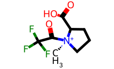 C[N@@+]1(C(=O)C(F)(F)F)CCCC1C(=O)O